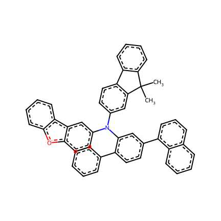 CC1(C)c2ccccc2-c2ccc(N(c3ccc4oc5ccccc5c4c3)c3cc(-c4cccc5ccccc45)ccc3-c3ccccc3)cc21